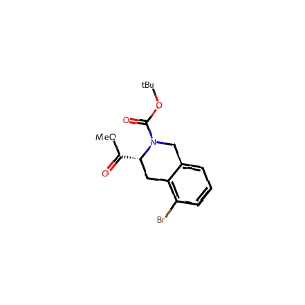 COC(=O)[C@H]1Cc2c(Br)cccc2CN1C(=O)OC(C)(C)C